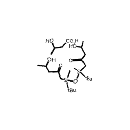 CC(O)CC(=O)C[Si](C)(O[Si](C)(CC(=O)CC(C)O)C(C)(C)C)C(C)(C)C.CC(O)CC(=O)O